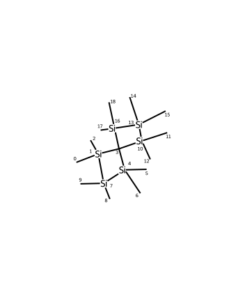 C[Si]1(C)C2([Si](C)(C)[Si]1(C)C)[Si](C)(C)[Si](C)(C)[Si]2(C)C